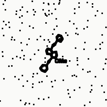 COc1ccc2c(C#Cc3ccccc3)cccc2c1C#Cc1ccccc1